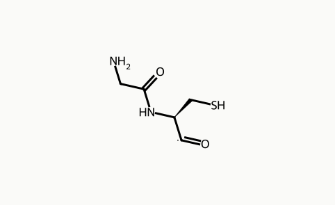 NCC(=O)N[C@H]([C]=O)CS